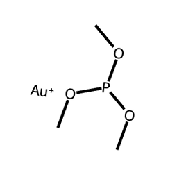 COP(OC)OC.[Au+]